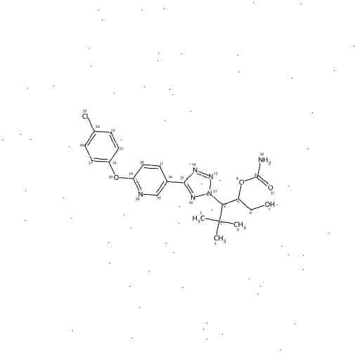 CC(C)(C)C(C(CO)OC(N)=O)n1nnc(-c2ccc(Oc3ccc(Cl)cc3)nc2)n1